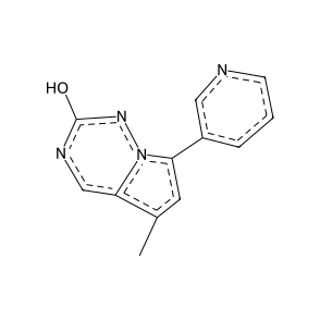 Cc1cc(-c2cccnc2)n2nc(O)ncc12